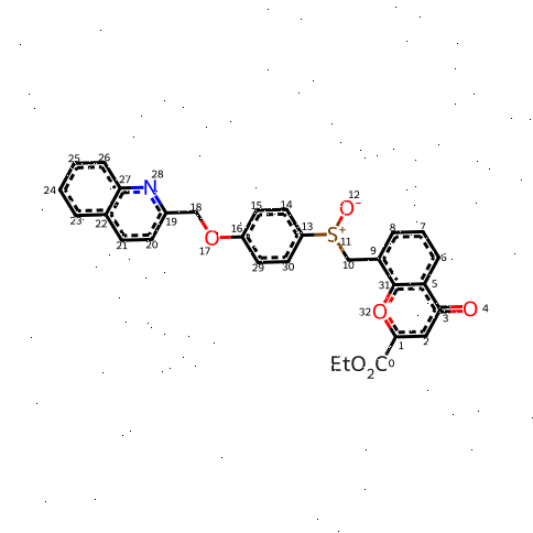 CCOC(=O)c1cc(=O)c2cccc(C[S+]([O-])c3ccc(OCc4ccc5ccccc5n4)cc3)c2o1